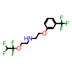 FC(F)C(F)(F)OCCNCCOc1cccc(C(F)(F)F)c1